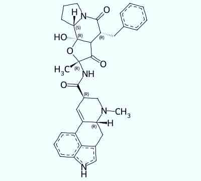 CN1C[C@H](C(=O)N[C@]2(C)O[C@]3(O)C(C2=O)[C@@H](Cc2ccccc2)C(=O)N2CCC[C@H]23)C=C2c3cccc4[nH]cc(c34)C[C@H]21